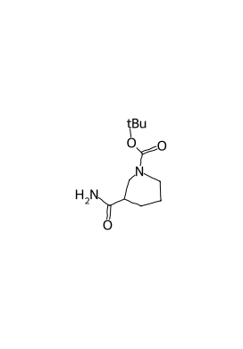 CC(C)(C)OC(=O)N1CCCC(C(N)=O)C1